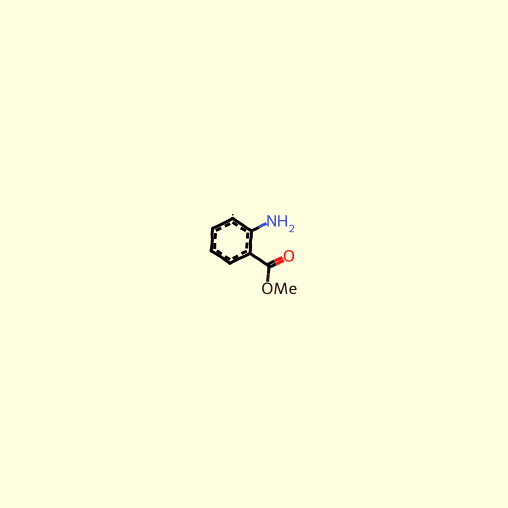 COC(=O)c1ccc[c]c1N